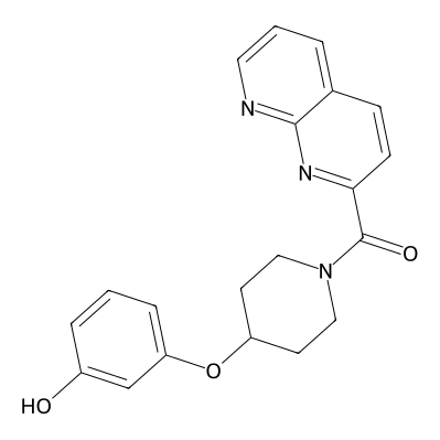 O=C(c1ccc2cccnc2n1)N1CCC(Oc2cccc(O)c2)CC1